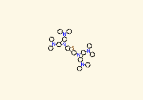 c1ccc(N(c2ccccc2)c2ccc3c(c2)c2cc(N(c4ccccc4)c4ccccc4)ccc2n3-c2ccc3c(c2)sc2cc(-n4c5ccc(N(c6ccccc6)c6ccccc6)cc5c5cc(N(c6ccccc6)c6ccccc6)ccc54)ccc23)cc1